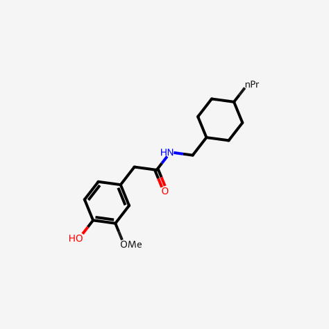 CCCC1CCC(CNC(=O)Cc2ccc(O)c(OC)c2)CC1